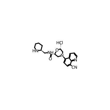 C[C@@H]1CN(c2ccc(C#N)c3ncccc23)C[C@H](C(=O)NC[C@@H]2CCCCN2)O1.Cl